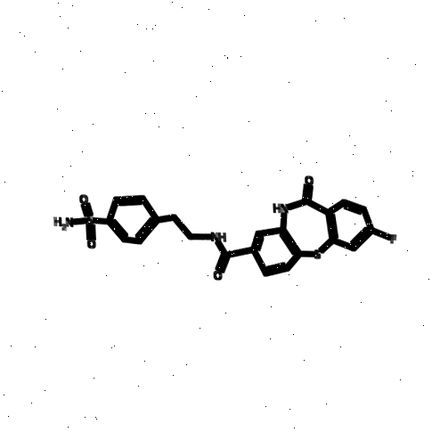 NS(=O)(=O)c1ccc(CCNC(=O)c2ccc3c(c2)NC(=O)c2ccc(F)cc2S3)cc1